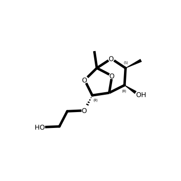 C[C@@H]1OC2(C)OC([C@H](OCCO)O2)[C@@H]1O